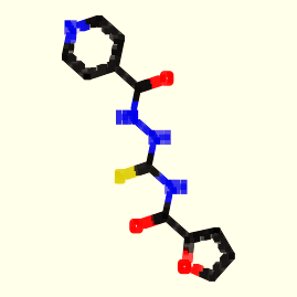 O=C(NNC(=S)NC(=O)c1ccco1)c1ccncc1